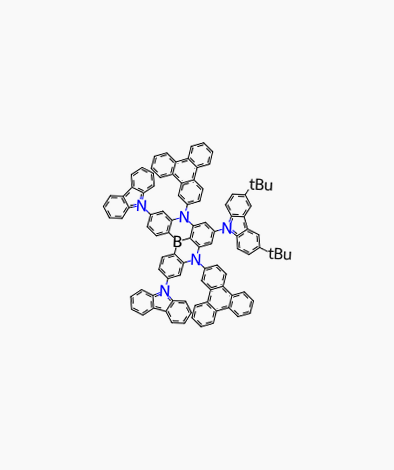 CC(C)(C)c1ccc2c(c1)c1cc(C(C)(C)C)ccc1n2-c1cc2c3c(c1)N(c1ccc4c5ccccc5c5ccccc5c4c1)c1cc(-n4c5ccccc5c5ccccc54)ccc1B3c1ccc(-n3c4ccccc4c4ccccc43)cc1N2c1ccc2c3ccccc3c3ccccc3c2c1